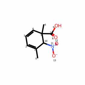 CC1=CC=CC(C)(C(=O)O)C1[N+](=O)[O-]